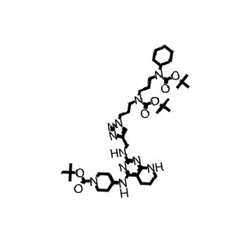 CC(C)(C)OC(=O)N(CCCN(C(=O)OC(C)(C)C)C1CCCCC1)CCCn1cc(CNc2nc3c(c(NC4CCN(C(=O)OC(C)(C)C)CC4)n2)CCCN3)nn1